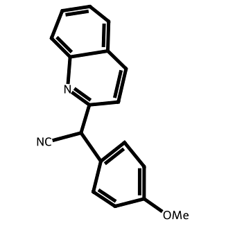 COc1ccc(C(C#N)c2ccc3ccccc3n2)cc1